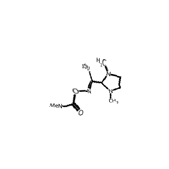 CNC(=O)ON=C(C1N(C)CCN1C)C(C)(C)C